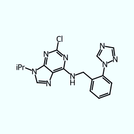 CC(C)n1cnc2c(NCc3ccccc3-n3cncn3)nc(Cl)nc21